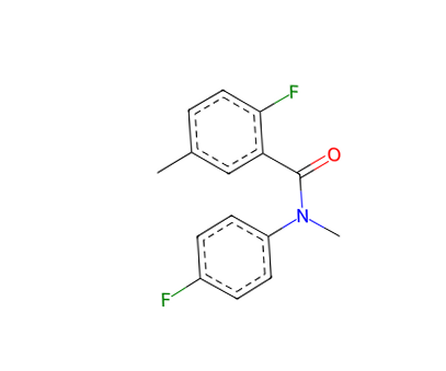 Cc1ccc(F)c(C(=O)N(C)c2ccc(F)cc2)c1